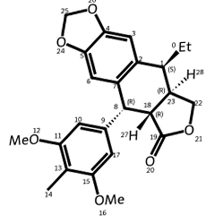 CC[C@@H]1c2cc3c(cc2[C@@H](c2cc(OC)c(C)c(OC)c2)[C@H]2C(=O)OC[C@@H]21)OCO3